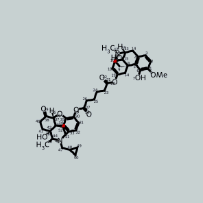 COc1ccc2c(c1O)[C@]13CCN(C)[C@H](C2)[C@]1(O)CC=C(OC(=O)CCCCC(=O)Oc1ccc2c4c1O[C@H]1C(=O)CC[C@@]5(O)C(C)N(CC6CC6)C2C[C@]415)C3